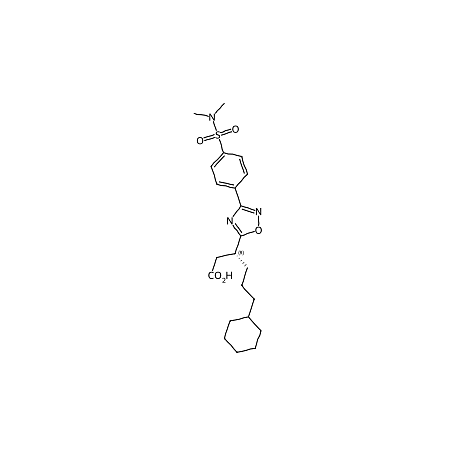 CN(C)S(=O)(=O)c1ccc(-c2noc([C@H](CCCC3CCCCC3)CC(=O)O)n2)cc1